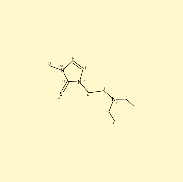 CCN(CC)CCn1ccn(C)c1=S